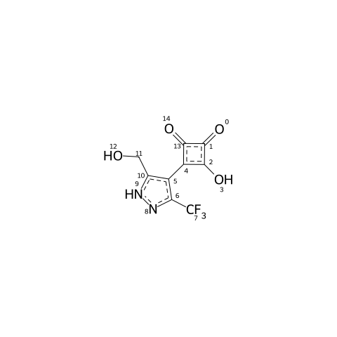 O=c1c(O)c(-c2c(C(F)(F)F)n[nH]c2CO)c1=O